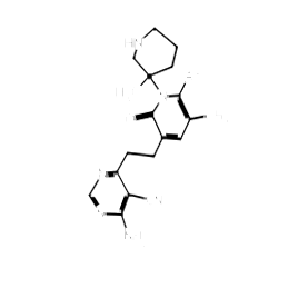 CC(=O)c1c(C)cc(CCc2ncnc(N)c2C#N)c(=O)n1C1(C)CCCNC1